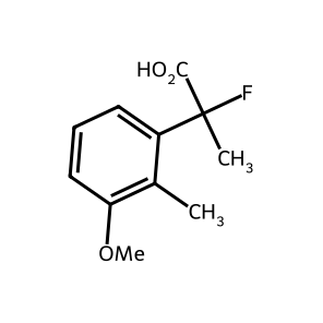 COc1cccc(C(C)(F)C(=O)O)c1C